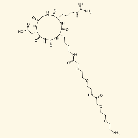 N=C(N)NCCC[C@@H]1NC(=O)[C@H](CCCCNC(=O)COCCOCCNC(=O)COCCOCCN)NC(=O)NC(=O)[C@H](CC(=O)O)NC(=O)CNC1=O